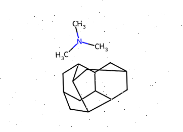 C1C2CC3C4CC5CC(C14)C(C2)C3C5.CN(C)C